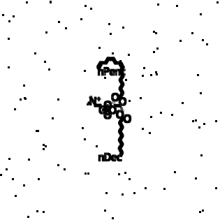 CCCCC/C=C\C/C=C\C/C=C\CCCCCCC(=O)O[C@H](COC(=O)CCCCCCCCCCCCCCCCCC)COP(=O)([O-])OCC[N+](C)(C)C